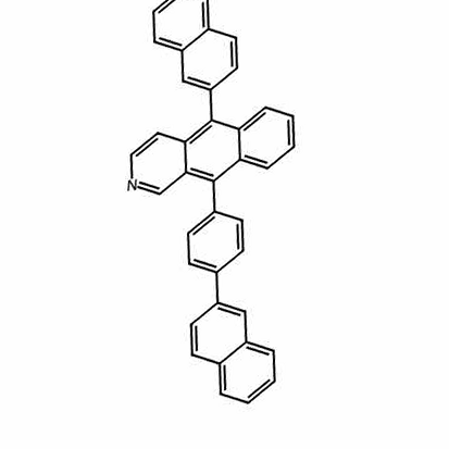 c1ccc2cc(-c3ccc(-c4c5ccccc5c(-c5ccc6ccccc6c5)c5ccncc45)cc3)ccc2c1